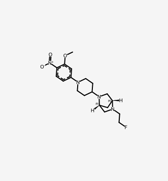 COc1cc(N2CCC(N3C[C@H]4C[C@@H]3CN4CCF)CC2)ccc1[N+](=O)[O-]